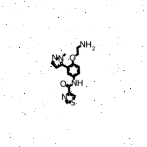 Cn1nccc1-c1cc(NC(=O)c2cscn2)ccc1OCCN